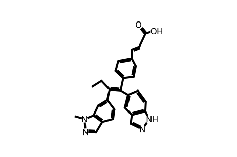 CCC(=C(c1ccc(C=CC(=O)O)cc1)c1ccc2[nH]ncc2c1)c1ccc2cnn(C)c2c1